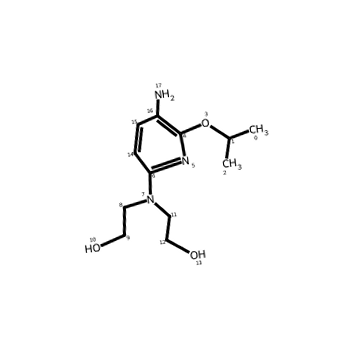 CC(C)Oc1nc(N(CCO)CCO)ccc1N